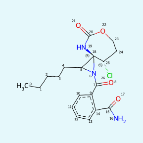 CCCCCC1N(C(=O)c2ccccc2C(N)=O)[C@]12NC(=O)OCC[C@@H]2Cl